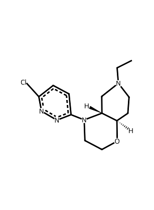 CCN1CC[C@H]2OCCN(c3ccc(Cl)nn3)[C@@H]2C1